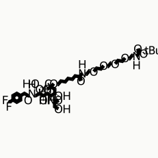 CC(C)(C)OC(=O)NCCOCCOCCOCCOCCNC(=O)CCCCCCO[C@]1(C(=O)O)C[C@H](O)[C@@H](NC(=O)CO)[C@H]([C@H](O)[C@H](O)CNC(=O)Cc2ccc(C(F)F)cc2)O1